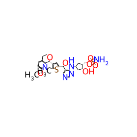 COc1ccc2c(n1)[C@@H](c1cc(C(=O)c3cncnc3N[C@@H]3C[C@H](COS(N)(=O)=O)[C@@H](O)C3)sc1C)OCC2